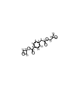 O=C(Cc1ccc(C(=O)OC2COC2)cc1)OCC1CO1